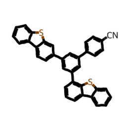 N#Cc1ccc(-c2cc(-c3ccc4c(c3)sc3ccccc34)cc(-c3cccc4c3sc3ccccc34)c2)cc1